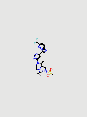 CC1C(CNS(C)(=O)=O)N(C(C)(C)C)CCN1c1cc(-c2cnc3ccc(C(F)F)nn23)ncn1